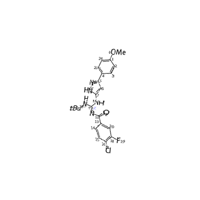 COc1ccc(-c2cc(N/C(=N\C(=O)c3ccc(Cl)c(F)c3)NC(C)(C)C)[nH]n2)cc1